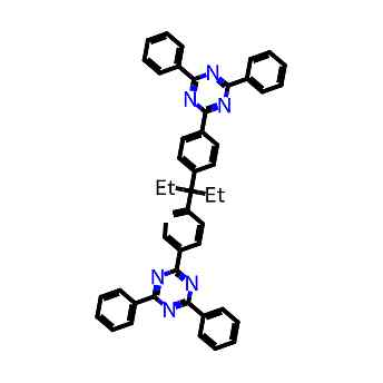 C=C(/C=C\C(=C/C)c1nc(-c2ccccc2)nc(-c2ccccc2)n1)C(CC)(CC)c1ccc(-c2nc(-c3ccccc3)nc(-c3ccccc3)n2)cc1